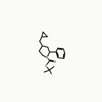 CC(C)(C)OC(=O)N1CCC(CC2CC2)CC1c1ccccc1